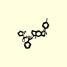 CN1CCC[C@H]1C(=O)NC(C[C@H]1CCC2=Cc3c(cnn3-c3ccc(F)cc3)C[C@@]21C)c1ccccc1